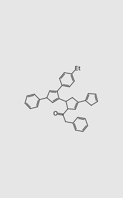 CCc1ccc(C2=CC(c3ccccc3)C=C2C2CC(C3=CC=CC3)=CC2C(=O)Cc2ccccc2)cc1